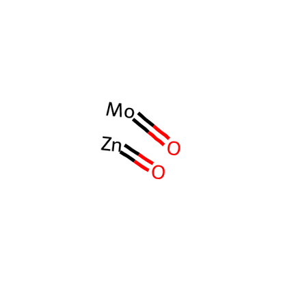 [O]=[Mo].[O]=[Zn]